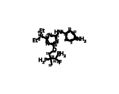 CCN(CC)c1nc(Nc2ccc(N)cc2)nc(OCC(C)(P)C(F)P)n1